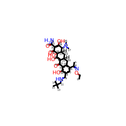 CCO/N=C(/C)c1cc(CNCC(C)(C)C)c(O)c2c1C[C@H]1C[C@H]3[C@H](N(C)C)C(O)=C(C(N)=O)C(=O)[C@@]3(O)C(O)=C1C2=O